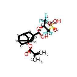 C=C(C)C(=O)OC12CC3CC(C1)CC(C(O)OC(C(F)(F)F)C(F)(F)S(=O)(=O)O)(C3)C2